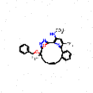 O=C(O)Nc1cc(C(F)(F)F)c2nc1-c1nnc(o1)C(OCc1ccccc1)(C(F)(F)F)CCC=CCc1ccccc1-2